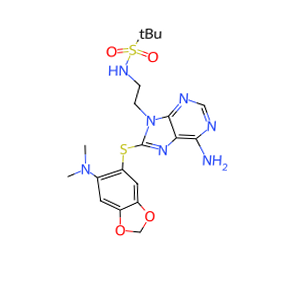 CN(C)c1cc2c(cc1Sc1nc3c(N)ncnc3n1CCNS(=O)(=O)C(C)(C)C)OCO2